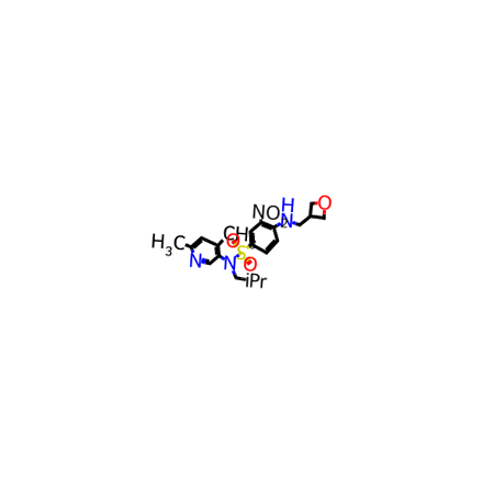 Cc1cc(C)c(N(CC(C)C)S(=O)(=O)c2ccc(NCC3COC3)c([N+](=O)[O-])c2)cn1